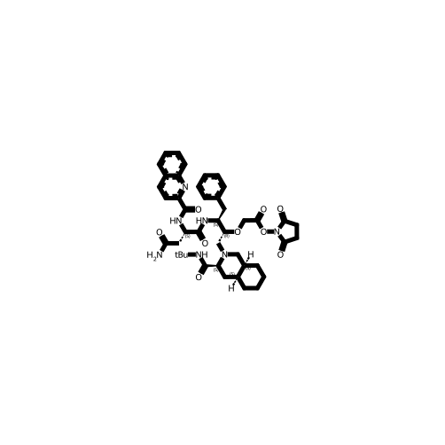 CC(C)(C)NC(=O)[C@@H]1C[C@@H]2CCCC[C@@H]2CN1C[C@@H](OCC(=O)ON1C(=O)CCC1=O)[C@H](Cc1ccccc1)NC(=O)[C@H](CC(N)=O)NC(=O)c1ccc2ccccc2n1